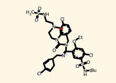 CCOc1cc(Cl)c(S(=O)(=O)NC(C)(C)C)cc1/C(=N/CC1C=CC(Cl)=CC1)N(Cc1ccc(Cl)cc1)C(=O)N1CCN(CCNS(C)(=O)=O)CC1